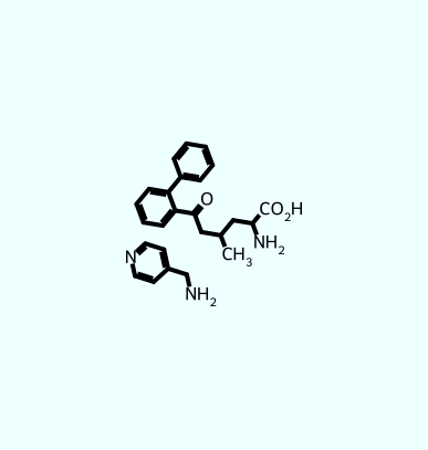 CC(CC(=O)c1ccccc1-c1ccccc1)CC(N)C(=O)O.NCc1ccncc1